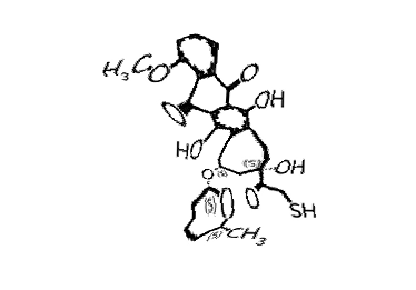 COc1cccc2c1C(=O)c1c(O)c3c(c(O)c1C2=O)C[C@@](O)(C(=O)CS)C[C@@H]3O[C@H]1CCC[C@H](C)O1